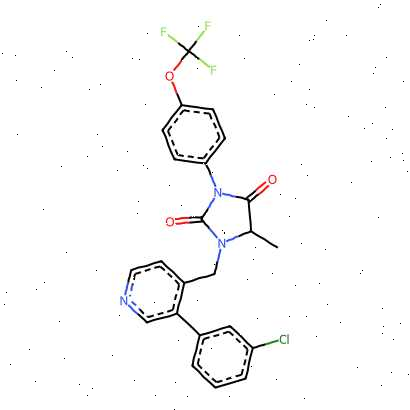 CC1C(=O)N(c2ccc(OC(F)(F)F)cc2)C(=O)N1Cc1ccncc1-c1cccc(Cl)c1